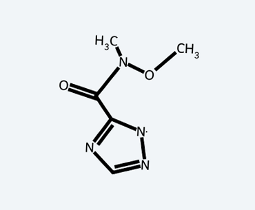 CON(C)C(=O)C1=NC=N[N]1